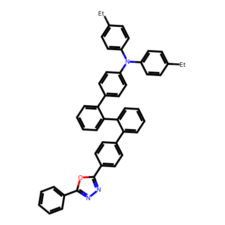 CCc1ccc(N(c2ccc(CC)cc2)c2ccc(-c3ccccc3-c3ccccc3-c3ccc(-c4nnc(-c5ccccc5)o4)cc3)cc2)cc1